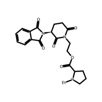 CCN1CCCC1C(=O)OCCN1C(=O)CC[C@H](N2C(=O)c3ccccc3C2=O)C1=O